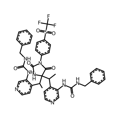 CC(c1ccncc1NC(=O)NCc1ccccc1)C1(C(C)c2ccncc2NC(=O)NCc2ccccc2)NC(=O)N(c2ccc(S(=O)(=O)C(F)(F)F)cc2)C1=O